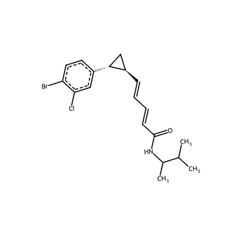 CC(C)C(C)NC(=O)C=CC=C[C@@H]1C[C@H]1c1ccc(Br)c(Cl)c1